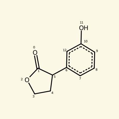 O=C1OCCC1c1cccc(O)c1